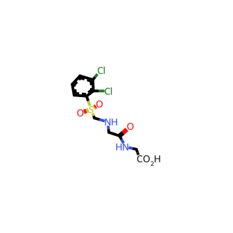 O=C(O)CNC(=O)CNCS(=O)(=O)c1cccc(Cl)c1Cl